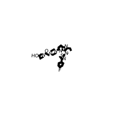 CCc1nc2ccc(N3CCN(CC(=O)N4CC[C@@H](O)C4)CC3)nn2c1N(C)c1nc(-c2ccc(F)cc2)cs1